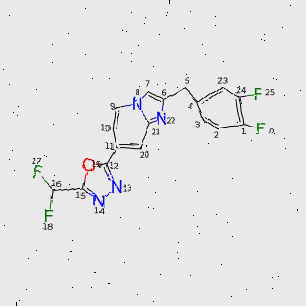 Fc1ccc(Cc2cn3ccc(-c4nnc(C(F)F)o4)cc3n2)cc1F